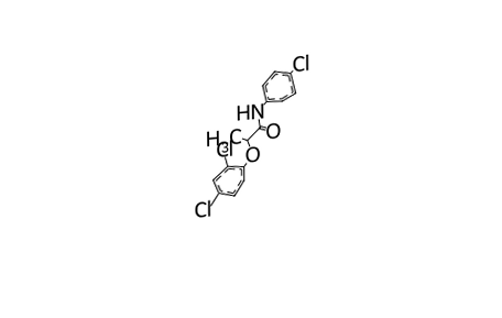 CC(Oc1ccc(Cl)cc1Cl)C(=O)Nc1ccc(Cl)cc1